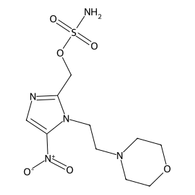 NS(=O)(=O)OCc1ncc([N+](=O)[O-])n1CCN1CCOCC1